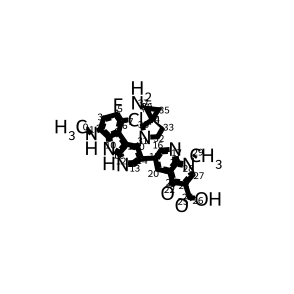 CNc1cc(F)c(Cl)c2c1[nH]c1ncc(-c3cnc4c(c3)c(=O)c(C(=O)O)cn4C)c(N3CC[C@@]4(C[C@@H]4N)C3)c12